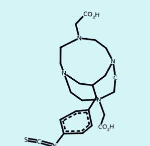 O=C(O)CN1CCN2CCN(CC(=O)O)CCN(CC1)CC(Cc1ccc(N=C=S)cc1)C2